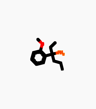 CCCC(P)(CC)c1ccccc1OC